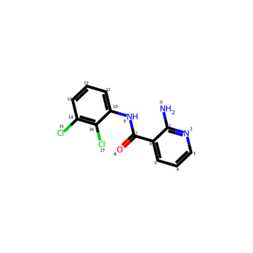 Nc1ncccc1C(=O)Nc1cccc(Cl)c1Cl